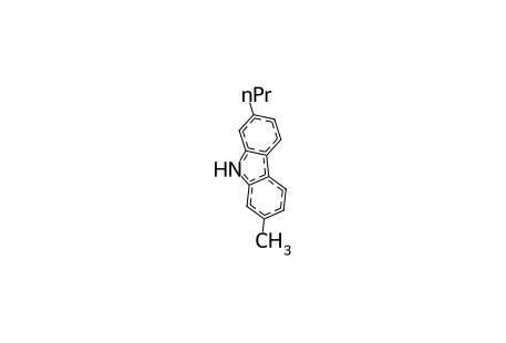 CCCc1ccc2c(c1)[nH]c1cc(C)ccc12